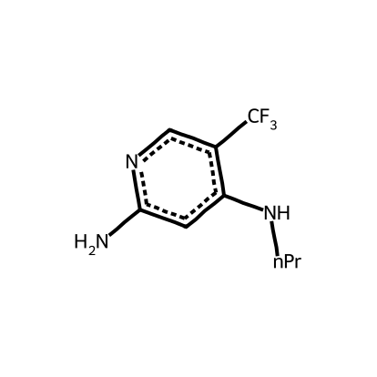 CCCNc1cc(N)ncc1C(F)(F)F